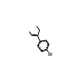 CC=C(CC)c1ccc(Br)cc1